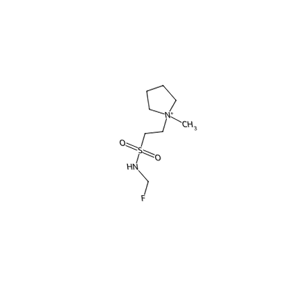 C[N+]1(CCS(=O)(=O)NCF)CCCC1